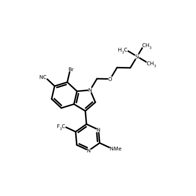 CNc1ncc(C(F)(F)F)c(-c2cn(COCC[Si](C)(C)C)c3c(Br)c(C#N)ccc23)n1